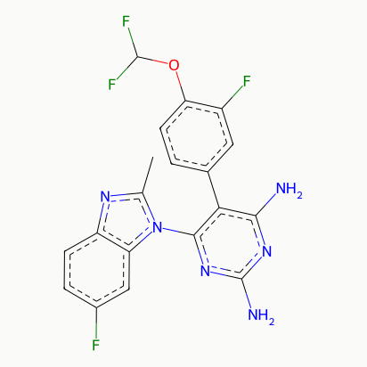 Cc1nc2ccc(F)cc2n1-c1nc(N)nc(N)c1-c1ccc(OC(F)F)c(F)c1